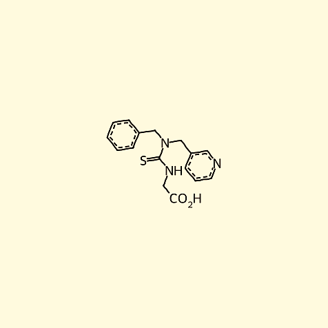 O=C(O)CNC(=S)N(Cc1ccccc1)Cc1cccnc1